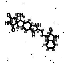 CN1C(=O)NC(=O)C12Cc1cc3c(cc1C2)NC(CCn1c(=O)[nH]c2ccccc21)N3